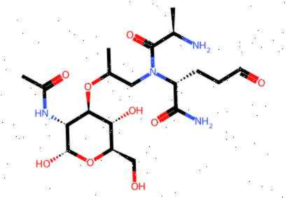 CC(=O)N[C@@H]1[C@@H](OC(C)CN(C(=O)[C@@H](C)N)[C@H](CC[C]=O)C(N)=O)[C@H](O)[C@@H](CO)O[C@@H]1O